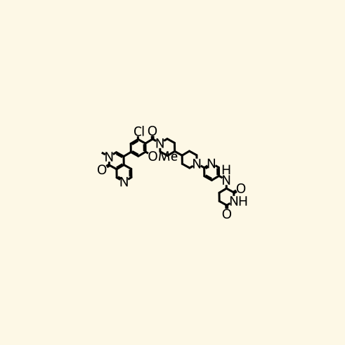 COc1cc(-c2cn(C)c(=O)c3cnccc23)cc(Cl)c1C(=O)N1CCC(C2CCN(c3ccc(NC4CCC(=O)NC4=O)cn3)CC2)CC1